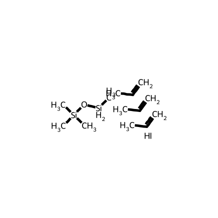 C=CC.C=CC.C=CC.C[SiH2]O[Si](C)(C)C.I